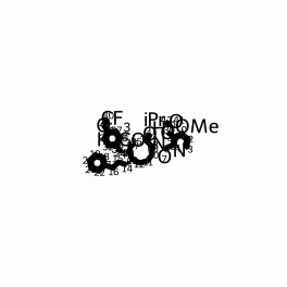 COc1ccnc(C(=O)N[C@H]2CCC[C@@H](CCCc3ccccc3)[C@@H](Cc3ccc(OC(F)(F)F)cc3)[C@H](C)OC2=O)c1OC(=O)C(C)C